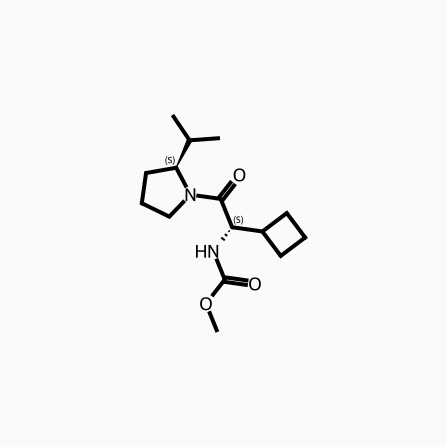 COC(=O)N[C@H](C(=O)N1CCC[C@H]1C(C)C)C1CCC1